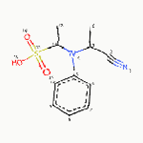 CC(C#N)N(c1ccccc1)C(C)S(=O)(=O)O